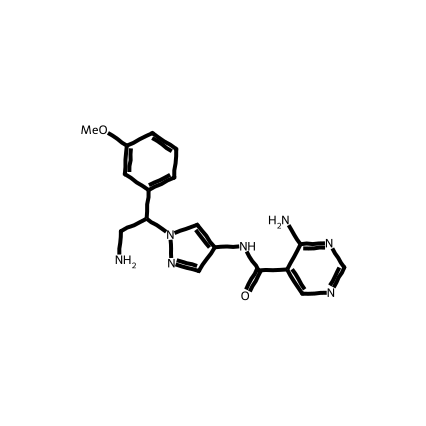 COc1cccc(C(CN)n2cc(NC(=O)c3cncnc3N)cn2)c1